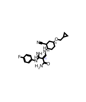 N#CC1C[C@@H](OCC2CC2)CC[C@H]1N/C=C(\C(=N)Nc1ccc(F)cc1)C(N)=O